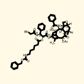 CC(=O)O[C@H]1C(=O)[C@]23C[C@H]2C[C@H]2OC[C@@]2(OC(C)=O)[C@H]3[C@H](OC(=O)c2ccccc2)[C@]2(O)C[C@H](OC(=O)[C@H](OC(=O)CCCCCNC(=O)OCc3ccccc3)[C@@H](NC(=O)CC(C)(C)C)c3ccccc3)C(C)=C1C2(C)C